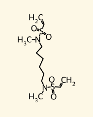 C=CS(=O)(=O)N(C)CCCCCCN(C)S(=O)(=O)C=C